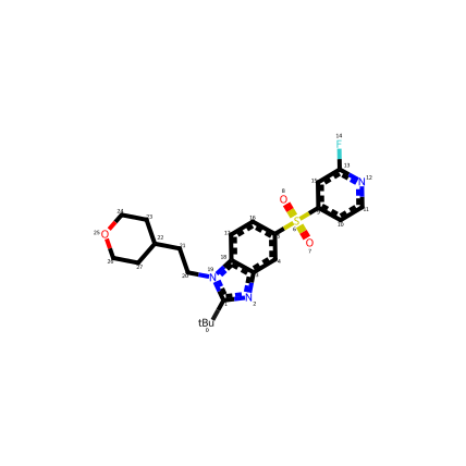 CC(C)(C)c1nc2cc(S(=O)(=O)c3ccnc(F)c3)ccc2n1CCC1CCOCC1